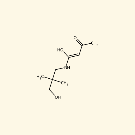 CC(=O)/C=C(\O)NCC(C)(C)CO